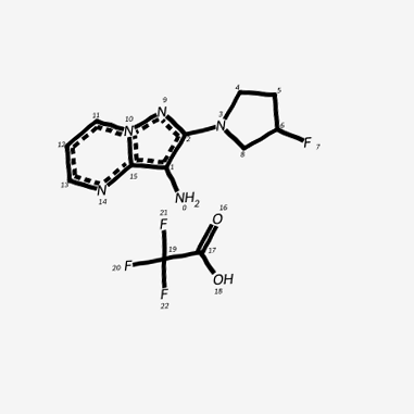 Nc1c(N2CCC(F)C2)nn2cccnc12.O=C(O)C(F)(F)F